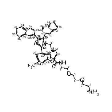 NCCOCCOCCNC(=O)c1ccc(Cn2c(-c3cc(C(F)(F)F)cc(C(F)(F)F)c3)nc(-c3ccc4ccccc4c3)c2-c2ccc3ccccc3c2)cc1